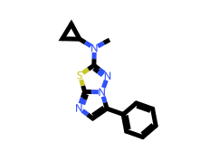 CN(c1nn2c(-c3ccccc3)cnc2s1)C1CC1